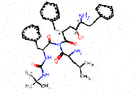 CC(C)CC(N)C(=O)N(C(=O)C(Cc1ccccc1)NC(=O)NC(C)(C)C)C(=O)[C@H](Cc1ccccc1)C[C@H](O)[C@@H](N)Cc1ccccc1